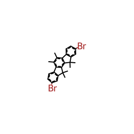 Cc1c(C)c2c(c3c1-c1ccc(Br)cc1C3(C)C)C(C)(C)c1cc(Br)ccc1-2